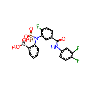 O=C(Nc1ccc(F)c(F)c1)c1ccc(F)c(N(c2ccccc2B(O)O)[SH](=O)=O)c1